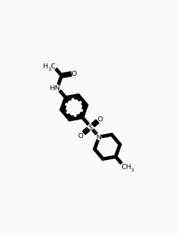 CC(=O)Nc1ccc(S(=O)(=O)N2CCC(C)CC2)cc1